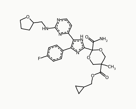 CC1(C(=O)OCC2CC2)COC(C(N)=O)(c2nc(-c3ccc(F)cc3)c(-c3ccnc(NCC4CCCO4)n3)[nH]2)OC1